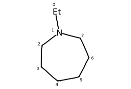 CCN1CC[CH]CCC1